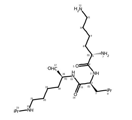 CC(C)C[C@H](NC(=O)[C@@H](N)CCCCN)C(=O)N[C@H]([C]=O)CCCCNC(C)C